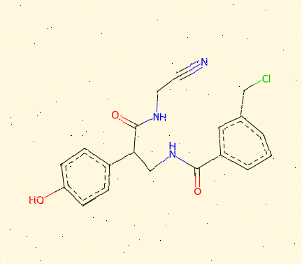 N#CCNC(=O)C(CNC(=O)c1cccc(CCl)c1)c1ccc(O)cc1